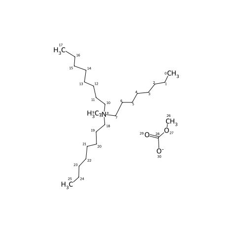 CCCCCCCC[N+](C)(CCCCCCCC)CCCCCCCC.COC(=O)[O-]